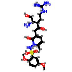 COc1ccc(OC)c(S(=O)(=O)Nn2c(C)ccc(CC(=O)C(CCNC(=N)N)[C@H](N)C=O)c2=O)c1